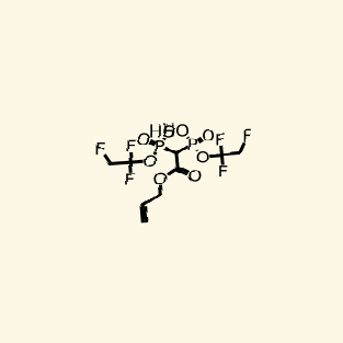 C=CCOC(=O)C(P(=O)(O)OC(F)(F)CF)P(=O)(O)OC(F)(F)CF